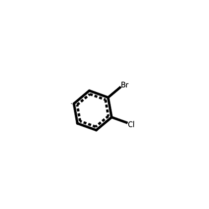 Clc1cc[c]cc1Br